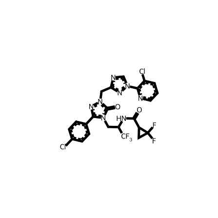 O=C(NC(Cn1c(-c2ccc(Cl)cc2)nn(Cc2ncn(-c3ncccc3Cl)n2)c1=O)C(F)(F)F)C1CC1(F)F